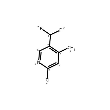 Cc1cc(Cl)ncc1C(F)F